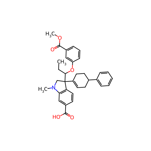 CCC(Oc1cccc(C(=O)OC)c1)C1(C2=CCC(c3ccccc3)CC2)CN(C)c2cc(C(=O)O)ccc21